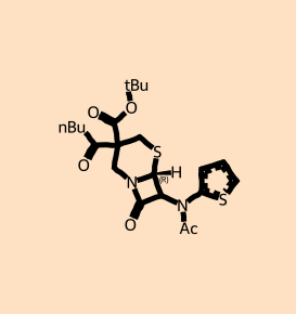 CCCCC(=O)C1(C(=O)OC(C)(C)C)CS[C@@H]2C(N(C(C)=O)c3cccs3)C(=O)N2C1